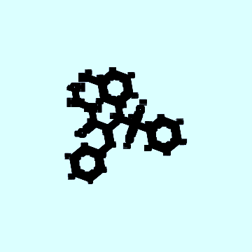 O=C(NNO)C(=Cc1ccccc1)N(c1cccc(Br)c1)S(=O)(=O)c1ccccc1